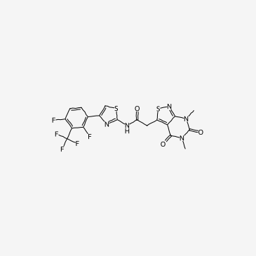 Cn1c(=O)c2c(CC(=O)Nc3nc(-c4ccc(F)c(C(F)(F)F)c4F)cs3)snc2n(C)c1=O